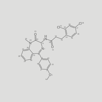 COc1ccc(C2=NC(NC(=O)CCc3ccc(Cl)cc3Cl)C(=O)N(C)c3ccccc32)cc1